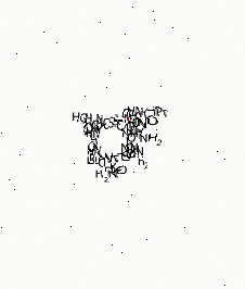 CC[C@H](C)[C@@H]1NC(=O)C(Cc2ccc(O)cc2)NC(=O)[C@@H](N)CSSC[C@@H](C(=O)N2CCCC2C(=O)N[C@@H](CC(C)C)C(=O)NCC(N)=O)NC(=O)C(CC(N)=O)NC(=O)C(CCC(N)=O)NC1=O